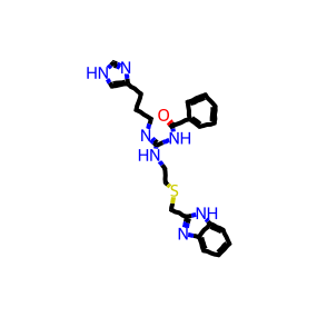 O=C(N/C(=N\CCCc1c[nH]cn1)NCCSCc1nc2ccccc2[nH]1)c1ccccc1